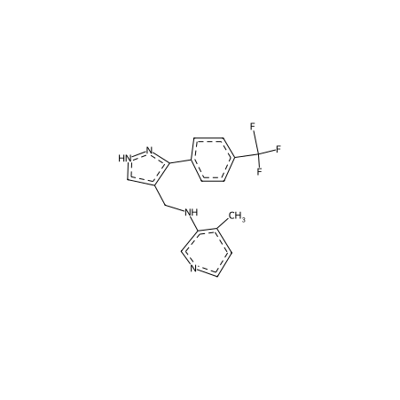 Cc1ccncc1NCc1c[nH]nc1-c1ccc(C(F)(F)F)cc1